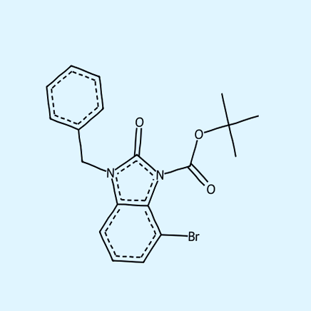 CC(C)(C)OC(=O)n1c(=O)n(Cc2ccccc2)c2cccc(Br)c21